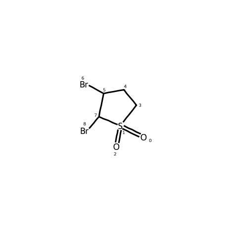 O=S1(=O)CCC(Br)C1Br